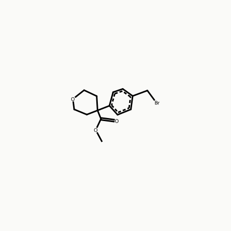 COC(=O)C1(c2ccc(CBr)cc2)CCOCC1